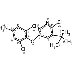 CC(C)(C)c1cc(Oc2c(Cl)cc(N)cc2Cl)nnc1Cl